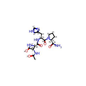 CC(=O)N[C@H]1C(=O)N[C@H]1C(=O)N[C@@H](Cc1c[nH]cn1)C(=O)N1CCC[C@H]1C(N)=O